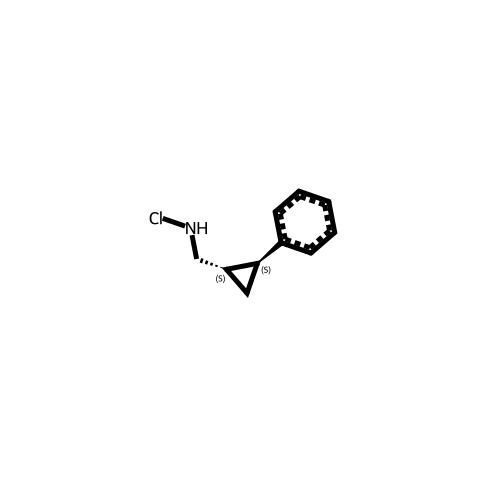 ClNC[C@H]1C[C@@H]1c1ccccc1